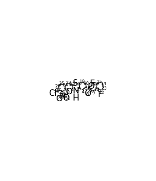 O=C1Nc2cc(S(=O)(=O)Cc3c(F)cccc3F)ccc2S/C1=C/c1ccc(Cl)c([N+](=O)[O-])c1